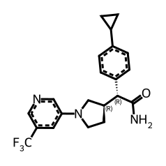 NC(=O)[C@@H](c1ccc(C2CC2)cc1)[C@H]1CCN(c2cncc(C(F)(F)F)c2)C1